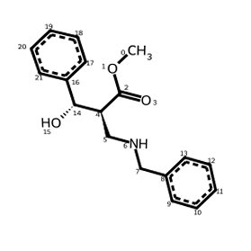 COC(=O)[C@@H](CNCc1ccccc1)[C@H](O)c1ccccc1